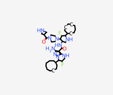 Nc1nn2c(c1C(=O)NC1CNC(C3CCCCCCCC3)C(F)C1N1CCN(C(=O)C3CNC3)CC1)NCC(F)C2C1CCCCCCCCC1